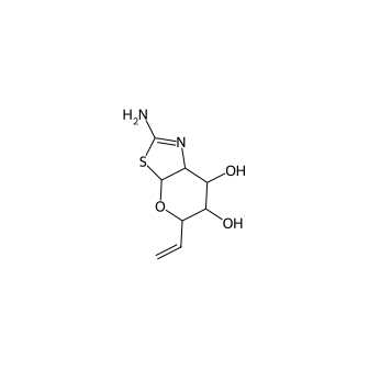 C=CC1OC2SC(N)=NC2C(O)C1O